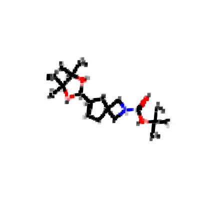 CC(C)(C)OC(=O)N1CC2(CC=C(B3OC(C)(C)C(C)(C)O3)C2)C1